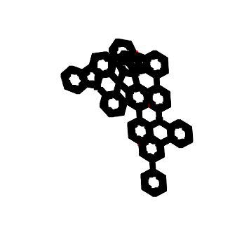 c1ccc(-c2cccc(-c3ccccc3N(c3ccc(-c4cccc5c4oc4ccccc45)cc3)c3ccccc3-c3ccc4c(c3)C3(c5ccccc5-4)c4ccccc4-n4c5ccccc5c5cccc3c54)c2)cc1